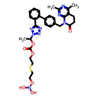 Cc1nc(C)c2c(n1)N(Cc1ccc(-c3ccccc3-c3nnn(C(C)OC(=O)OCCSCCON(O)O)n3)cc1)C(=O)CC2